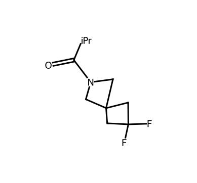 CC(C)C(=O)N1CC2(C1)CC(F)(F)C2